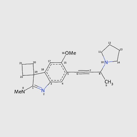 CNC1=Nc2cc(C#CC(C)N3CCCC3)c(OC)cc2C12CCC2